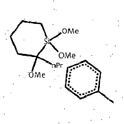 CCCC1(OC)CCCC[Si]1(OC)OC.Cc1ccccc1